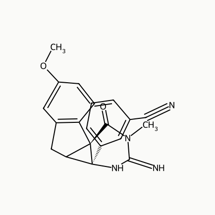 COc1ccc2c(c1)CC1[C@]23C(=O)N(C)C(=N)N[C@@]13c1cccc(C#N)c1